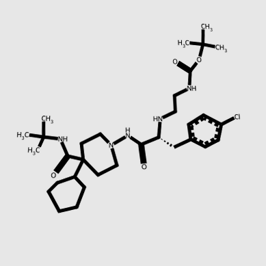 CC(C)(C)NC(=O)C1(C2CCCCC2)CCN(NC(=O)[C@@H](Cc2ccc(Cl)cc2)NCCNC(=O)OC(C)(C)C)CC1